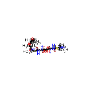 CCC(C)(C)NC(CSCC(=O)NCCNC(=O)CCC(O)[C@H](O)C(=O)NCCNC(=O)CSCC(NC(=O)CCC(C)(C)OCCC(C)(C)C(=O)C(C)(CC)CC)C(=O)O)C(=O)O